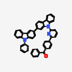 O=C(c1ccccc1)c1ccc(-c2cccc(-n3c4ccccc4c4ccc(-c5ccc6c(c5)c5ccccc5n6-c5ccccc5)cc43)n2)cc1